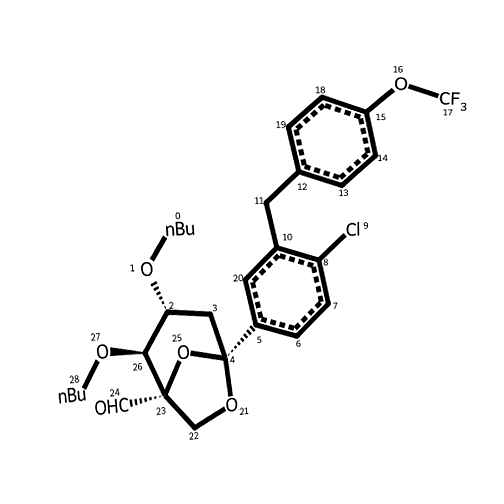 CCCCO[C@@H]1C[C@@]2(c3ccc(Cl)c(Cc4ccc(OC(F)(F)F)cc4)c3)OC[C@](C=O)(O2)[C@H]1OCCCC